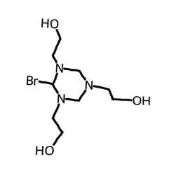 OCCN1CN(CCO)C(Br)N(CCO)C1